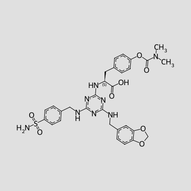 CN(C)C(=O)Oc1ccc(C[C@H](Nc2nc(NCc3ccc(S(N)(=O)=O)cc3)nc(NCc3ccc4c(c3)OCO4)n2)C(=O)O)cc1